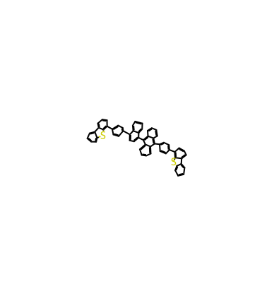 c1ccc2c(c1)sc1c(-c3ccc(-c4ccc(-c5c6ccccc6c(-c6ccc(-c7cccc8c7sc7ccccc78)cc6)c6ccccc56)c5ccccc45)cc3)cccc12